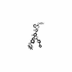 CC(C)(C)OC(=O)N1CCC[C@H]1c1ncc(-c2cc(F)c3c(c2)OC(c2ccc(C4CCC4)s2)n2c-3cc3cc(B4OC(C)(C)C(C)(C)O4)ccc32)[nH]1